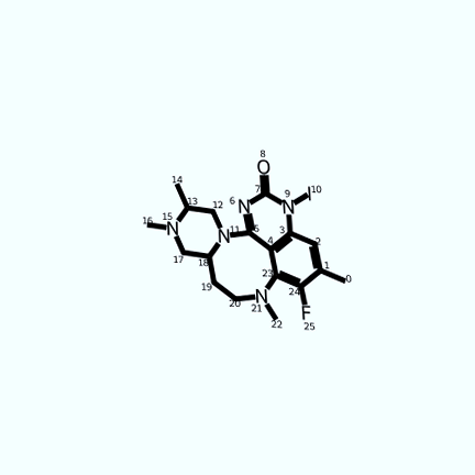 Cc1cc2c3c(nc(=O)n2I)N2CC(C)N(C)CC2CCN(C)c3c1F